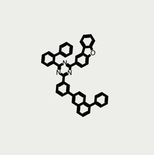 c1ccc(-c2ccccc2-c2nc(-c3cccc(-c4ccc5c(-c6ccccc6)cccc5c4)c3)nc(-c3ccc4oc5ccccc5c4c3)n2)cc1